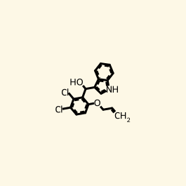 C=CCOc1ccc(Cl)c(Cl)c1C(O)c1c[nH]c2ccccc12